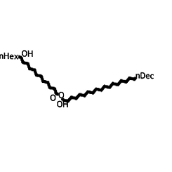 CCCCCCCCCCCCCCCCCCCCCCCCCCCC(O)OC(=O)CCCCCCCCCCC(O)CCCCCC